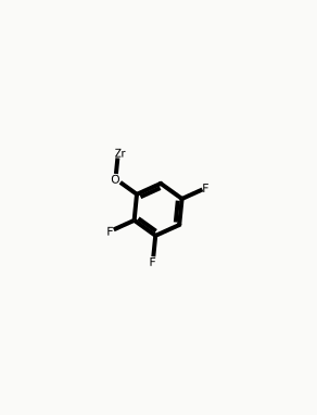 Fc1cc(F)c(F)c([O][Zr])c1